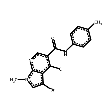 Cc1ccc(NC(=O)c2cnc3c(c(Br)cn3C)c2Cl)cc1